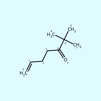 C=CCCC(=O)C(C)(C)C